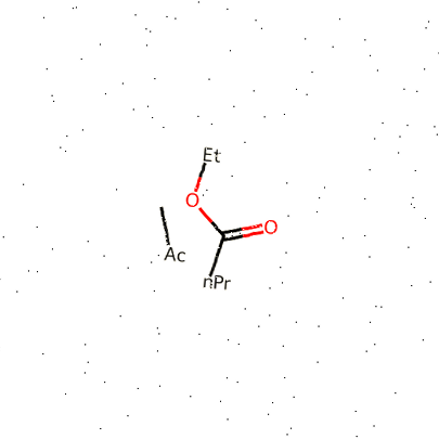 CC(C)=O.CCCC(=O)OCC